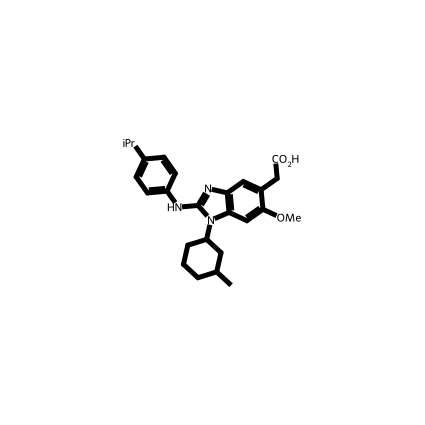 COc1cc2c(cc1CC(=O)O)nc(Nc1ccc(C(C)C)cc1)n2C1CCCC(C)C1